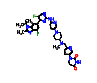 Cc1nc2c(F)cc(-c3nc(Nc4ccc(N5CCC(N(C)Cc6ccc(N7CCC(=O)NC7=O)cn6)CC5)cn4)ncc3F)cc2n1C(C)C